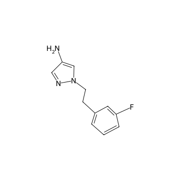 Nc1cnn(CCc2cccc(F)c2)c1